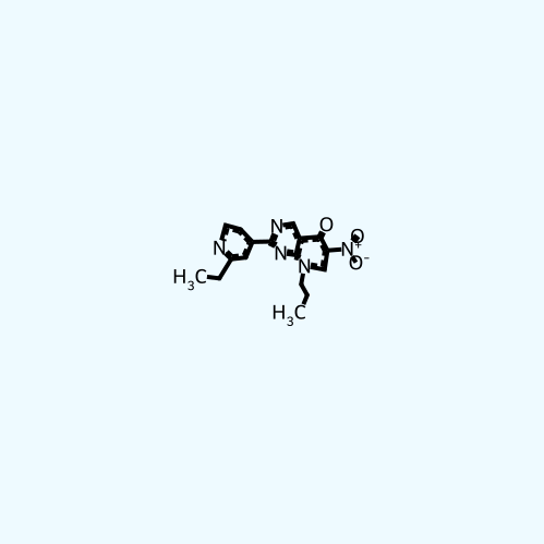 CCCn1cc([N+](=O)[O-])c(=O)c2cnc(-c3ccnc(CC)c3)nc21